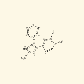 O=[N+]([O-])c1nc(-c2ccc(Cl)c(Cl)c2)c(-c2ccccc2)[nH]1